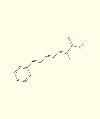 COC(=O)/C(C)=C/C=C/C=C/c1ccccc1